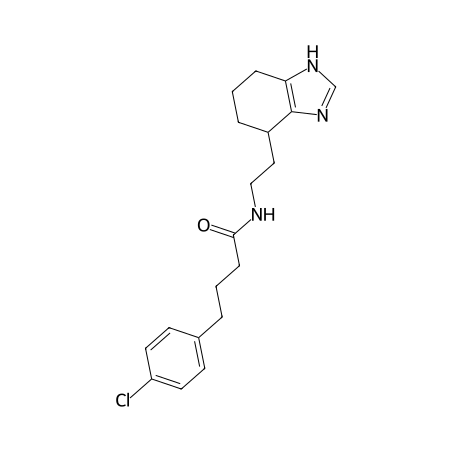 O=C(CCCc1ccc(Cl)cc1)NCCC1CCCc2[nH]cnc21